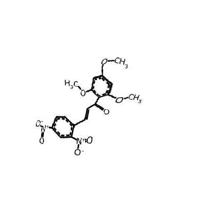 COc1cc(OC)c(C(=O)C=Cc2ccc([N+](=O)[O-])cc2[N+](=O)[O-])c(OC)c1